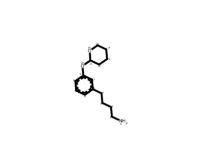 NCCCCc1cccc(OC2CCCCO2)c1